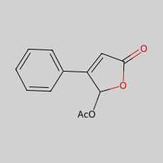 CC(=O)OC1OC(=O)C=C1c1ccccc1